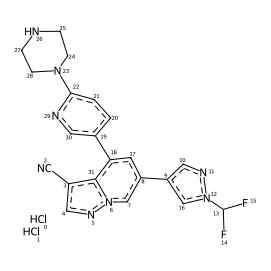 Cl.Cl.N#Cc1cnn2cc(-c3cnn(C(F)F)c3)cc(-c3ccc(N4CCNCC4)nc3)c12